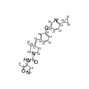 Cc1oncc1NC(=O)N1CC/C(=C\c2cccc(Oc3ccc(C4CC4)nc3)c2)C(C)C1